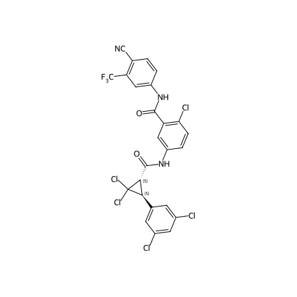 N#Cc1ccc(NC(=O)c2cc(NC(=O)[C@@H]3[C@@H](c4cc(Cl)cc(Cl)c4)C3(Cl)Cl)ccc2Cl)cc1C(F)(F)F